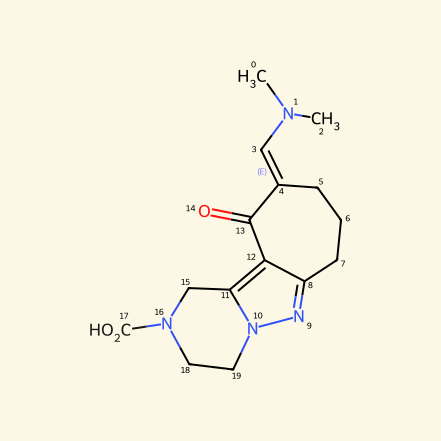 CN(C)/C=C1\CCCc2nn3c(c2C1=O)CN(C(=O)O)CC3